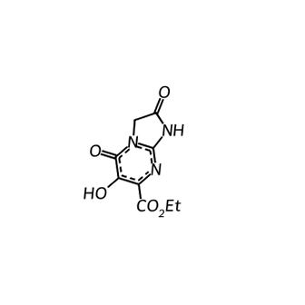 CCOC(=O)c1nc2n(c(=O)c1O)CC(=O)N2